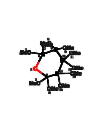 COC1(OC)O[Si](OC)(OC)[Si](OC)(OC)[Si](OC)(OC)[Si]1(OC)OC